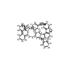 C=C1C2C(CCc3cc4c(cc3-c3cc(C(C)(C)C)cc[n+]31)c1c3c(cc5c6ccccc6n4c51)oc1ccccc13)c1ccccc1-c1cccc[n+]12